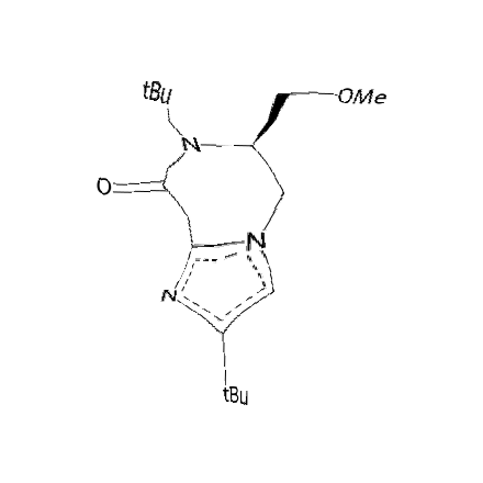 COC[C@H]1Cn2cc(C(C)(C)C)nc2C(=O)N1C(C)(C)C